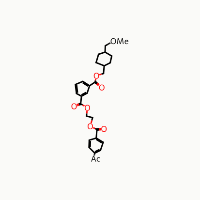 COCC1CCC(COC(=O)c2cccc(C(=O)OCCOC(=O)c3ccc(C(C)=O)cc3)c2)CC1